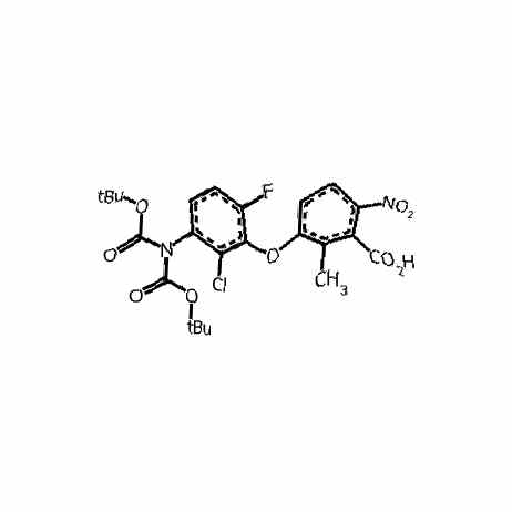 Cc1c(Oc2c(F)ccc(N(C(=O)OC(C)(C)C)C(=O)OC(C)(C)C)c2Cl)ccc([N+](=O)[O-])c1C(=O)O